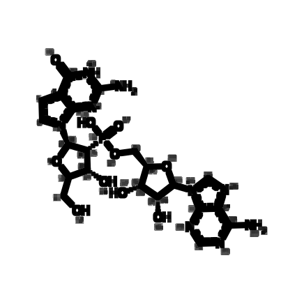 Nc1nc2c(ccn2[C@@H]2OC(CO)[C@@H](O)[C@H]2P(=O)(O)OC[C@H]2OC(n3cnc4c(N)ncnc43)[C@H](O)[C@@H]2O)c(=O)[nH]1